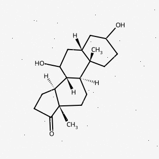 C[C@]12CCC(O)C[C@H]1CC(O)[C@@H]1[C@@H]2CC[C@]2(C)C(=O)CC[C@@H]12